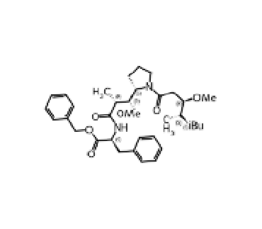 CC[C@H](C)[C@H](C)[C@@H](CC(=O)N1CCC[C@H]1[C@H](OC)[C@@H](C)C(=O)N[C@@H](Cc1ccccc1)C(=O)OCc1ccccc1)OC